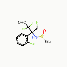 CC(C)(C)[S@@+]([O-])N[C@](CF)(c1ccccc1F)C(F)(F)C=O